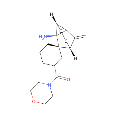 C=C1C2[C@@H]3CC[C@H]1[C@@]1(CCC[C@@H](C(=O)N4CCOCC4)C1)[C@@]23N